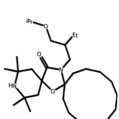 CCC(COC(C)C)CN1C(=O)C2(CC(C)(C)NC(C)(C)C2)OC12CCCCCCCCCCC2